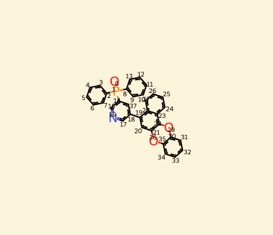 O=P(c1ccccc1)(c1ccccc1)c1cncc(-c2cc3c(c4ccccc24)Oc2ccccc2O3)c1